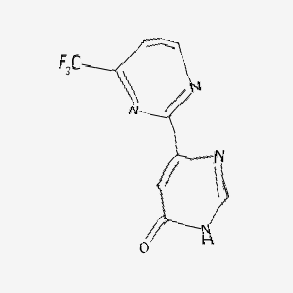 O=c1cc(-c2nccc(C(F)(F)F)n2)nc[nH]1